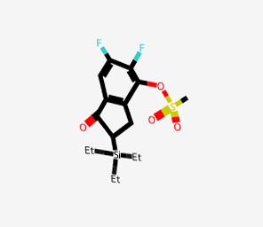 CC[Si](CC)(CC)C1Cc2c(cc(F)c(F)c2OS(C)(=O)=O)C1=O